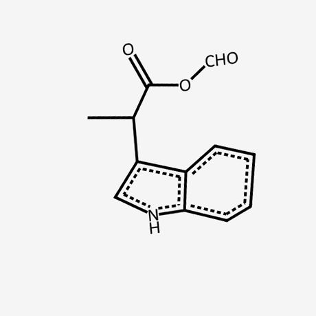 CC(C(=O)OC=O)c1c[nH]c2ccccc12